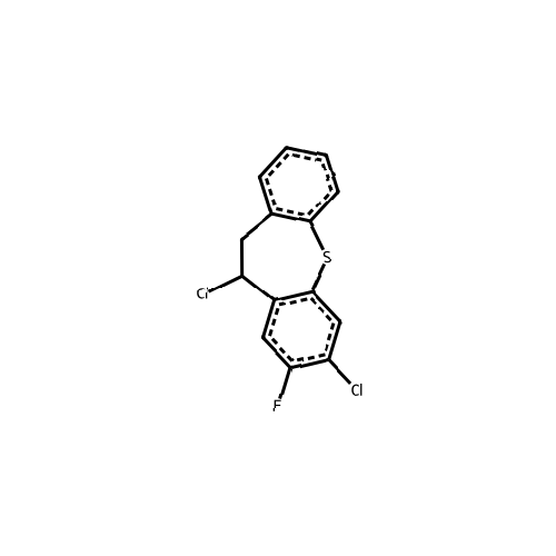 Fc1cc2c(cc1Cl)Sc1ccccc1CC2Cl